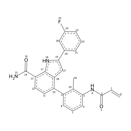 C=CC(=O)Nc1cccc(-c2ccc(C(N)=O)c3[nH]c(-c4cccc(F)c4)cc23)c1C